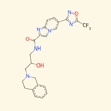 O=C(NCC(O)CN1CCc2ccccc2C1)c1cn2cc(-c3noc(C(F)(F)F)n3)ccc2n1